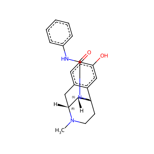 CN1CCC23CCN(C(=O)Nc4ccccc4)C[C@H]2[C@H]1Cc1ccc(O)cc13